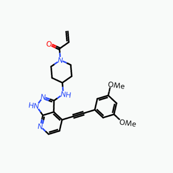 C=CC(=O)N1CCC(Nc2n[nH]c3nccc(C#Cc4cc(OC)cc(OC)c4)c23)CC1